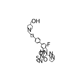 O=C(Nc1nccs1)C(c1ncn2c1CCC2)N1Cc2c(F)cc(-c3ccc(C45CC(CN6CCC(CO)CC6)(C4)C5)cc3)cc2C1=O